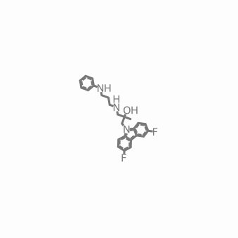 CC(O)(CNCCCNc1ccccc1)Cn1c2ccc(F)cc2c2cc(F)ccc21